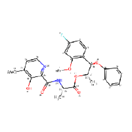 CCCOc1cc(F)ccc1[C@@H](Oc1ccccc1)[C@H](C)OC(=O)[C@H](C)NC(=O)c1nccc(OC)c1O